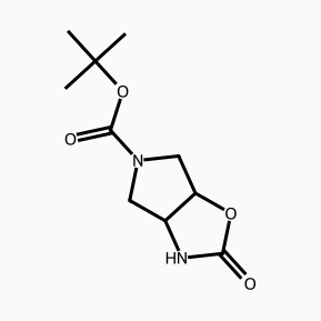 CC(C)(C)OC(=O)N1CC2NC(=O)OC2C1